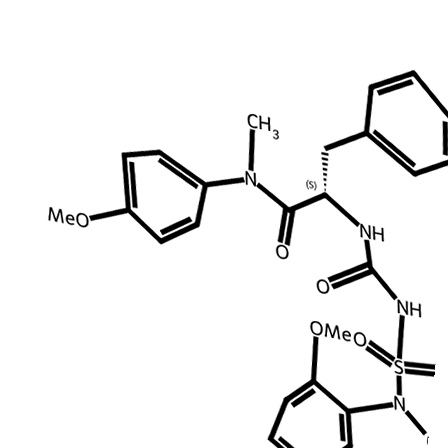 COc1ccc(N(C)C(=O)[C@H](Cc2ccccc2)NC(=O)NS(=O)(=O)N(C)c2ccccc2OC)cc1